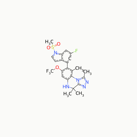 Cc1c(-c2cc(F)cc3c2ccn3S(C)(=O)=O)c(OC(F)(F)F)cc2c1-n1c(C)nnc1C(C)(C)N2